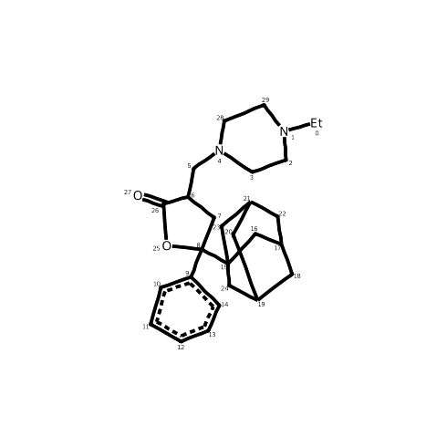 CCN1CCN(CC2CC(c3ccccc3)(C34CC5CC(CC(C5)C3)C4)OC2=O)CC1